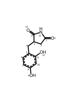 O=C1CC(Cc2ccc(O)cc2O)C(=O)N1